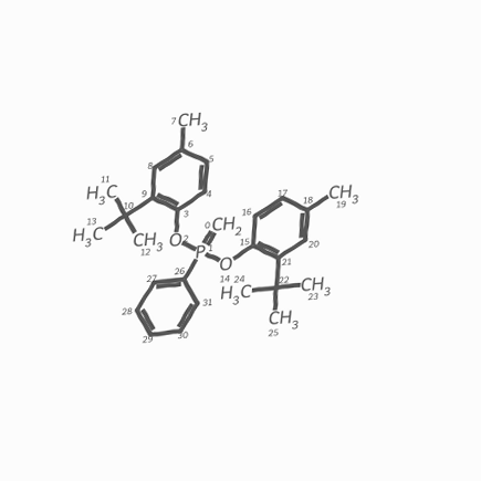 C=P(Oc1ccc(C)cc1C(C)(C)C)(Oc1ccc(C)cc1C(C)(C)C)c1ccccc1